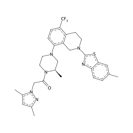 Cc1ccc2nc(N3CCc4c(C(F)(F)F)ccc(N5CCN(C(=O)Cn6nc(C)cc6C)[C@H](C)C5)c4C3)sc2c1